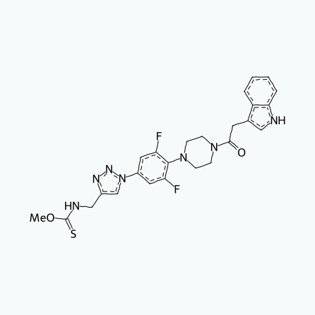 COC(=S)NCc1cn(-c2cc(F)c(N3CCN(C(=O)Cc4c[nH]c5ccccc45)CC3)c(F)c2)nn1